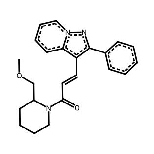 COCC1CCCCN1C(=O)C=Cc1c(-c2ccccc2)nn2ccccc12